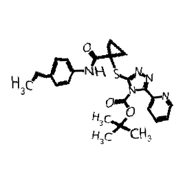 CCc1ccc(NC(=O)C2(Sc3nnc(-c4ccccn4)n3C(=O)OC(C)(C)C)CC2)cc1